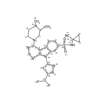 CC1CN(c2ncnc3c2c2ccc(S(=O)(=O)NC4(C#N)CC4)cc2n3-c2nnc(C(F)F)s2)CCN1C